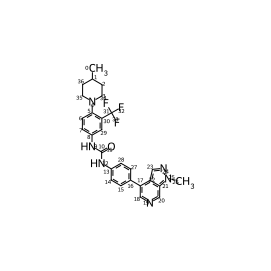 CC1CCN(c2ccc(NC(=O)Nc3ccc(-c4cncc5c4cnn5C)cc3)cc2C(F)(F)F)CC1